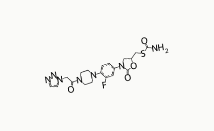 NC(=O)SCC1CN(c2ccc(N3CCN(C(=O)Cn4ccnn4)CC3)c(F)c2)C(=O)O1